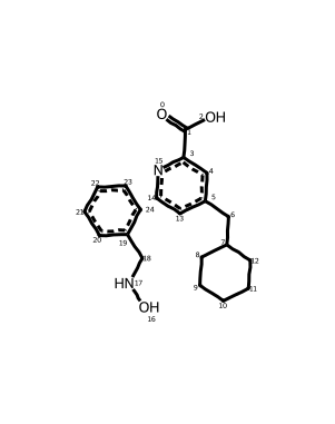 O=C(O)c1cc(CC2CCCCC2)ccn1.ONCc1ccccc1